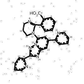 O=C(O)c1ccccc1C1=NCCCN1c1cc(-c2ccccn2)cc2nc(-c3ccccn3)nn12